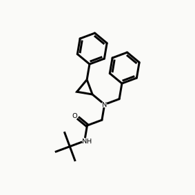 CC(C)(C)NC(=O)CN(Cc1ccccc1)C1CC1c1ccccc1